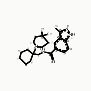 O=C(NCC1(N2CCC(F)(F)CC2)CCCCC1)c1ccc2[nH]nc(I)c2c1